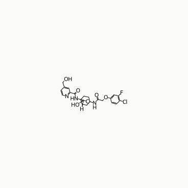 O=C(COc1ccc(Cl)c(F)c1)NC12CCC(NC(=O)c3cc(CO)ccn3)(CC1)[C@@H](O)C2